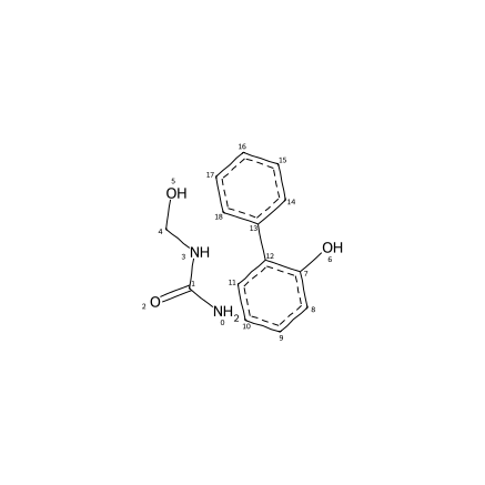 NC(=O)NCO.Oc1ccccc1-c1ccccc1